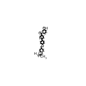 CC(C)(F)CN1CCC(COc2ccc(-c3ccc(C(=O)N4CCCC(O)C4)cn3)cc2)CC1